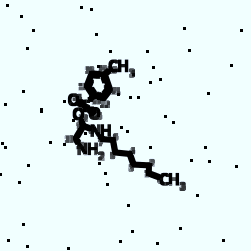 CCCCCCCCNC(CN)OS(=O)(=O)c1ccc(C)cc1